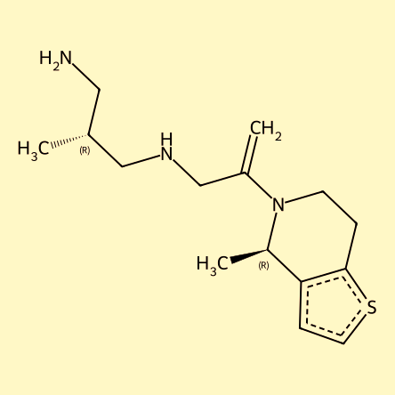 C=C(CNC[C@H](C)CN)N1CCc2sccc2[C@H]1C